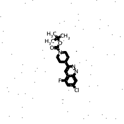 CC(C)(C)OC(=O)N1CCC(c2cc3c(F)cc(Cl)cc3nn2)CC1